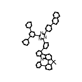 CC1(C)c2cccc3c2-c2c1ccc1c4c(-c5cccc(-c6nc(-c7ccc(-c8ccc9ccccc9c8)cc7)nc(-c7cc(-c8ccccc8)cc(-c8ccccc8)c7)n6)c5)cccc4n(c21)-c1ccccc1-3